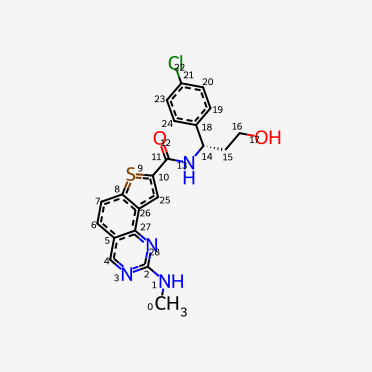 CNc1ncc2ccc3sc(C(=O)N[C@@H](CCO)c4ccc(Cl)cc4)cc3c2n1